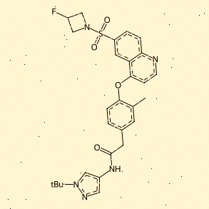 Cc1cc(CC(=O)Nc2cnn(C(C)(C)C)c2)ccc1Oc1ccnc2ccc(S(=O)(=O)N3CC(F)C3)cc12